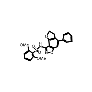 COc1cccc(OC)c1S(=O)(=O)Nc1noc2cc(-c3ccccc3)c3c(c12)OCC3